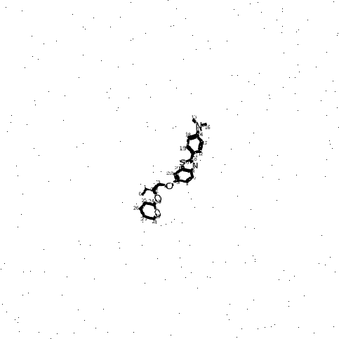 CC[C@@H](COc1ccc2nc(-c3ccc(N(C)C)cc3)sc2c1)OC1CCCCO1